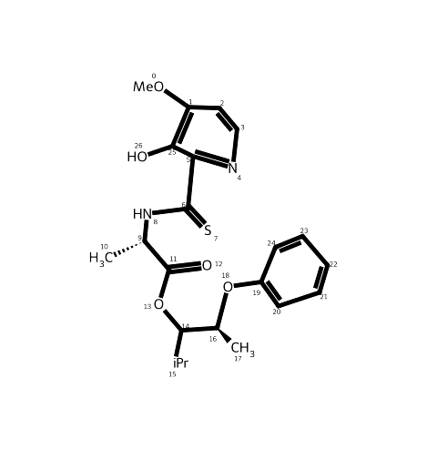 COc1ccnc(C(=S)N[C@@H](C)C(=O)OC(C(C)C)[C@H](C)Oc2ccccc2)c1O